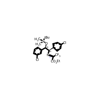 CCOC(=O)/C(=N/[C@H](c1ccc(Cl)cc1)[C@H](O[Si](C)(C)C(C)(C)C)c1cccc(Cl)c1)C(F)(F)F